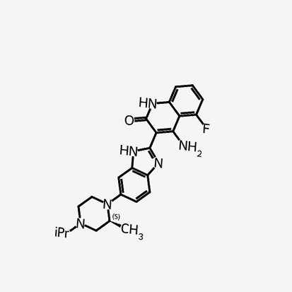 CC(C)N1CCN(c2ccc3nc(-c4c(N)c5c(F)cccc5[nH]c4=O)[nH]c3c2)[C@@H](C)C1